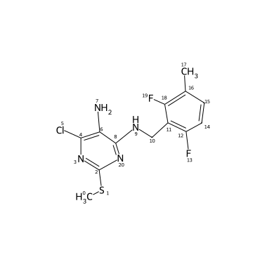 CSc1nc(Cl)c(N)c(NCc2c(F)ccc(C)c2F)n1